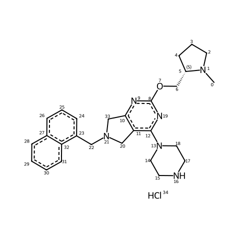 CN1CCC[C@H]1COc1nc2c(c(N3CCNCC3)n1)CN(Cc1cccc3ccccc13)C2.Cl